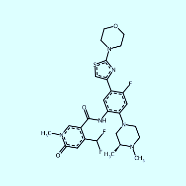 C[C@H]1CN(c2cc(F)c(-c3csc(N4CCOCC4)n3)cc2NC(=O)c2cn(C)c(=O)cc2C(F)F)CCN1C